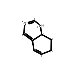 C1=CC2=C[N+]=CNC2CC1